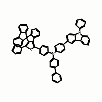 c1ccc(-c2ccc(N(c3ccc(-c4ccc5c(c4)c4ccccc4n5-c4ccccc4)cc3)c3ccc(-c4sc(-c5ccccc5)c5c4-c4ccccc4C54c5ccccc5-c5ccccc54)cc3)cc2)cc1